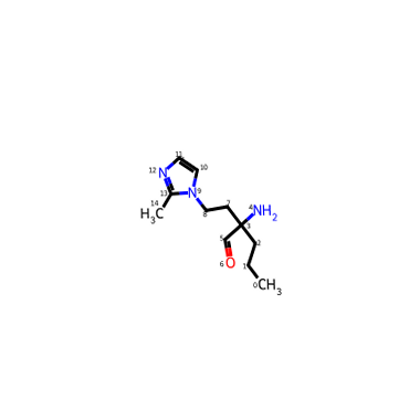 CCCC(N)(C=O)CCn1c[c]nc1C